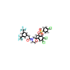 O=C(Cc1cc(C(F)(F)F)cc(C(F)(F)F)c1)N1CCOC(CCOS(=O)(=O)c2ccc(Cl)cc2)(c2ccc(Cl)c(Cl)c2)C1